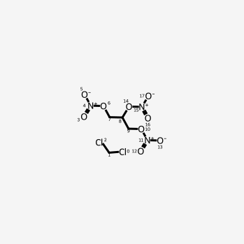 ClCCl.O=[N+]([O-])OCC(CO[N+](=O)[O-])O[N+](=O)[O-]